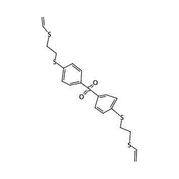 C=CSCCSc1ccc(S(=O)(=O)c2ccc(SCCSC=C)cc2)cc1